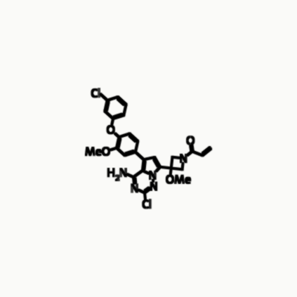 C=CC(=O)N1CC(OC)(c2cc(-c3ccc(Oc4cccc(Cl)c4)c(OC)c3)c3c(N)nc(Cl)nn23)C1